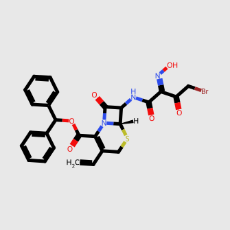 C=CC1=C(C(=O)OC(c2ccccc2)c2ccccc2)N2C(=O)C(NC(=O)C(=NO)C(=O)CBr)[C@@H]2SC1